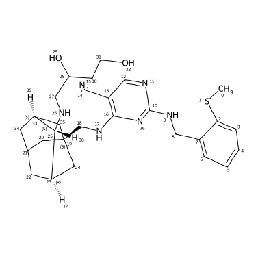 CSc1ccccc1CNc1ncc(C#N)c(NC[C@]23CC4C[C@H](C2)[C@@H](NCC(O)CCO)[C@@H](C4)C3)n1